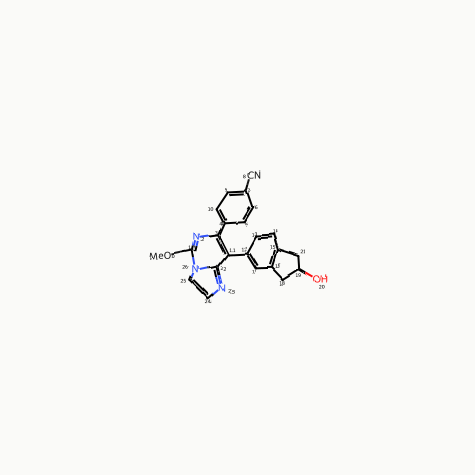 COc1nc(-c2ccc(C#N)cc2)c(-c2ccc3c(c2)CC(O)C3)c2nccn12